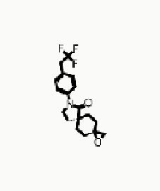 O=C1N(c2ccc(CC(F)(F)F)cc2)CC[C@]12CC[C@@]1(CC2)CO1